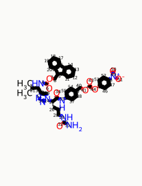 CC(C)[C@H](NC(=O)OCC1c2ccccc2-c2ccccc21)c1cn([C@@H](CCCNC(N)=O)C(=O)Nc2ccc(COC(=O)Oc3ccc([N+](=O)[O-])cc3)cc2)nn1